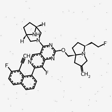 C#Cc1c(F)ccc2cccc(-c3ncc4c(N5C[C@H]6CC[C@@H](C5)N6)nc(OC[C@@]56CC[C@@H](CCF)N5CC(=C)C6)nc4c3F)c12